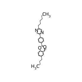 CCCCCCc1cnc(-c2ccc(C(=O)Oc3ccc(CCCC)cc3F)cc2)cn1